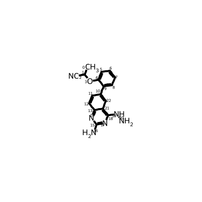 CC(C#N)Oc1ccccc1-c1ccc2nc(N)nc(NN)c2c1